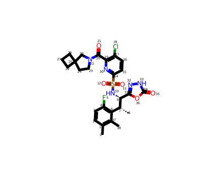 Cc1ccc(F)c([C@@H](C)[C@H](NS(=O)(=O)c2ccc(Cl)c(C(=O)N3CCC4(CCC4)C3)n2)c2n[nH]c(=O)o2)c1C